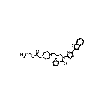 CCOC(=O)CN1CCN(CCCN(C(=O)c2cccs2)c2nc(-c3cc4ccccc4o3)cs2)CC1